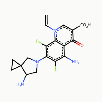 C=Cn1cc(C(=O)O)c(=O)c2c(N)c(F)c(N3CC(N)C4(CC4)C3)c(F)c21